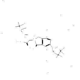 CC1(C)OB(c2ccc3c(c2)C(=O)N([C@@H](CO[Si](C)(C)C(C)(C)C)C(=O)O)C3)OC1(C)C